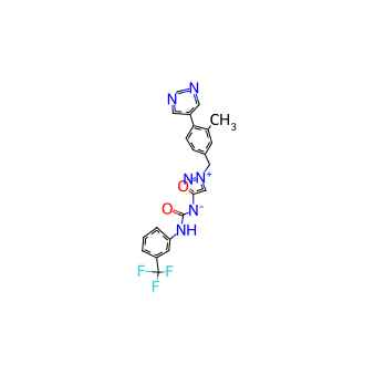 Cc1cc(C[n+]2cc([N-]C(=O)Nc3cccc(C(F)(F)F)c3)on2)ccc1-c1cncnc1